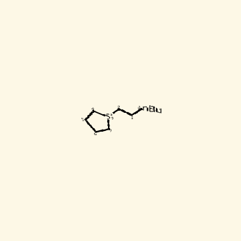 CCCCCC[S+]1CCCC1